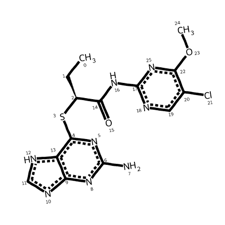 CC[C@H](Sc1nc(N)nc2nc[nH]c12)C(=O)Nc1ncc(Cl)c(OC)n1